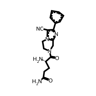 N#Cc1c(-c2ccccc2)nc2n1CCN(C(=O)[C@@H](N)CCC(N)=O)C2